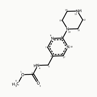 COC(=O)NCc1cnc(N2CCNCC2)nc1